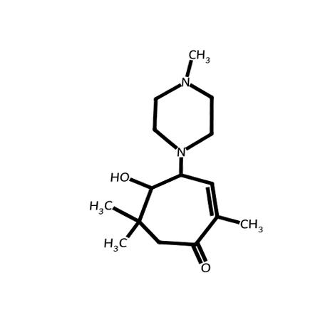 CC1=CC(N2CCN(C)CC2)C(O)C(C)(C)CC1=O